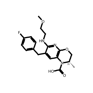 COCCNc1nc2c(cc1Cc1ccc(F)cc1)N(C(=O)O)[C@@H](C)CO2